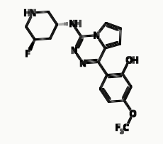 Oc1cc(OC(F)(F)F)ccc1-c1nnc(N[C@H]2CNC[C@H](F)C2)n2cccc12